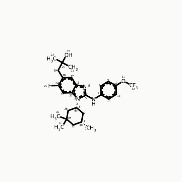 C[C@H]1C[C@@H](n2c(Nc3ccc(OC(F)(F)F)cc3)nc3cc(CC(C)(C)O)c(F)cc32)CC(C)(C)C1